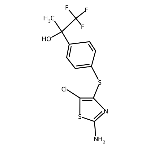 CC(O)(c1ccc(Sc2nc(N)sc2Cl)cc1)C(F)(F)F